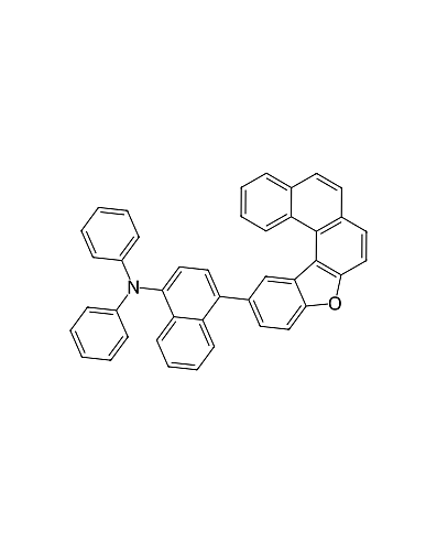 c1ccc(N(c2ccccc2)c2ccc(-c3ccc4oc5ccc6ccc7ccccc7c6c5c4c3)c3ccccc23)cc1